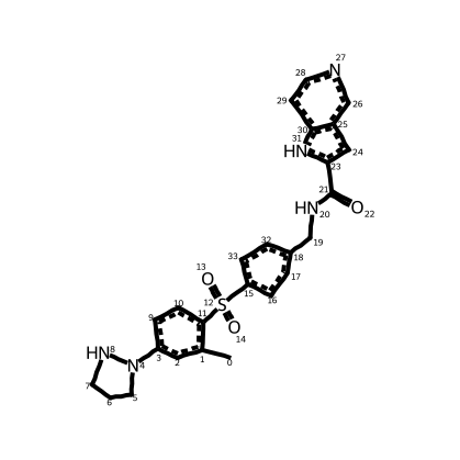 Cc1cc(N2CCCN2)ccc1S(=O)(=O)c1ccc(CNC(=O)c2cc3cnccc3[nH]2)cc1